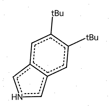 CC(C)(C)c1cc2c[nH]cc2cc1C(C)(C)C